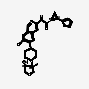 C[C@@]1(N2CCC(c3cc4cc(NC(=O)[C@@H]5C[C@H]5c5cccs5)ncc4cc3Cl)CC2)COC[C@@H]1O